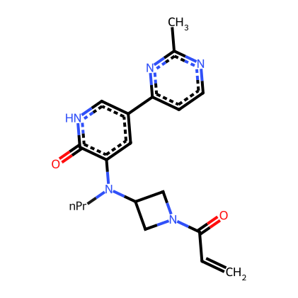 C=CC(=O)N1CC(N(CCC)c2cc(-c3ccnc(C)n3)c[nH]c2=O)C1